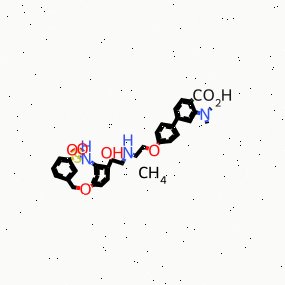 C.CN(C)c1cc(-c2ccc(OCCNCC(O)c3ccc4cc3NS(=O)(=O)c3cccc(c3)CO4)cc2)ccc1C(=O)O